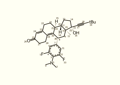 CN(C)c1c(F)cc([C@H]2C[C@@]3(C)[C@@H](CC[C@@]3(O)C#CC(C)(C)C)[C@@H]3CCC4=CC(=O)CCC4=C32)cc1F